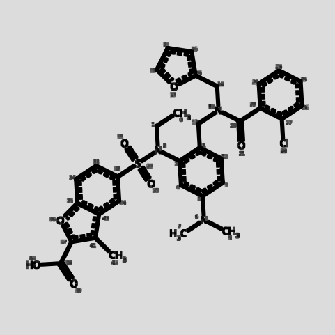 CCN(c1cc(N(C)C)ccc1CN(Cc1ccco1)C(=O)c1ccccc1Cl)S(=O)(=O)c1ccc2oc(C(=O)O)c(C)c2c1